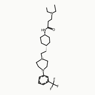 CCN(CC)CCC(=O)N[C@H]1CC[C@H](CCN2CCN(c3cccc(C(F)(F)F)c3)CC2)CC1